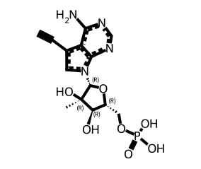 C#Cc1cn([C@@H]2O[C@H](COP(=O)(O)O)[C@@H](O)[C@@]2(C)O)c2ncnc(N)c12